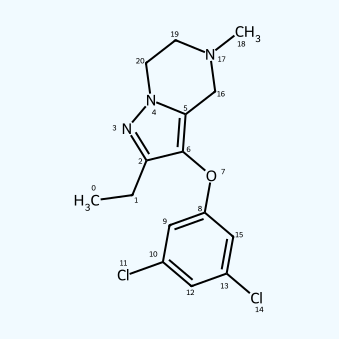 CCc1nn2c(c1Oc1cc(Cl)cc(Cl)c1)CN(C)CC2